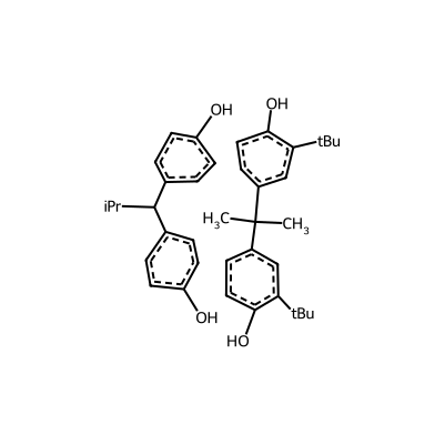 CC(C)(C)c1cc(C(C)(C)c2ccc(O)c(C(C)(C)C)c2)ccc1O.CC(C)C(c1ccc(O)cc1)c1ccc(O)cc1